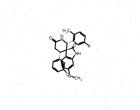 COc1ccc2c(c1)NC(=O)[C@@]21[C@@H](c2cc(F)ccc2C)NC(=O)C[C@H]1c1cccc(Cl)c1